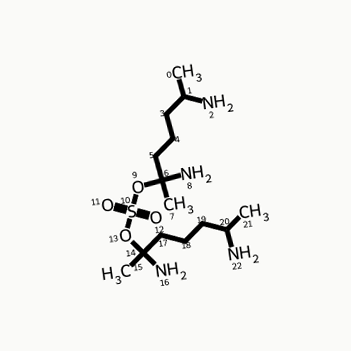 CC(N)CCCC(C)(N)OS(=O)(=O)OC(C)(N)CCCC(C)N